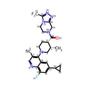 C[C@@H]1CN(c2c(C#N)cnc3c(F)cc(C4CC4)cc23)CC[C@@H]1C(=O)N1CCn2c(nnc2C(F)(F)F)C1